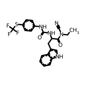 CCN(C#N)C(=O)C(Cc1c[nH]c2ccccc12)NC(=O)Nc1ccc(SC(F)(F)F)cc1